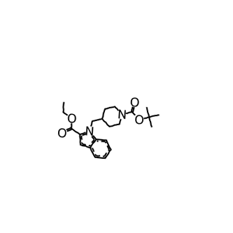 CCOC(=O)c1cc2ccccc2n1CC1CCN(C(=O)OC(C)(C)C)CC1